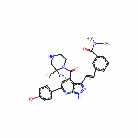 CN(C)C(=O)c1cccc(/C=C/c2n[nH]c3nc(-c4ccc(O)cc4)cc(C(=O)N4CCNCC4(C)C)c23)c1